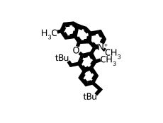 Cc1ccc2cc3cc[n+](C)c4c3c(c2c1)Oc1c-4c(C)c2cc(CC(C)(C)C)ccc2c1CC(C)(C)C